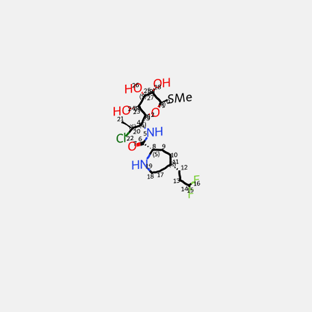 CS[C@H]1O[C@H]([C@H](NC(=O)[C@@H]2CC[C@H](CCC(F)F)CCN2)[C@H](C)Cl)[C@H](O)[C@H](O)[C@H]1O